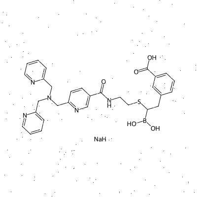 O=C(O)c1cccc(CC(SCCNC(=O)c2ccc(CN(Cc3ccccn3)Cc3ccccn3)nc2)B(O)O)c1.[NaH]